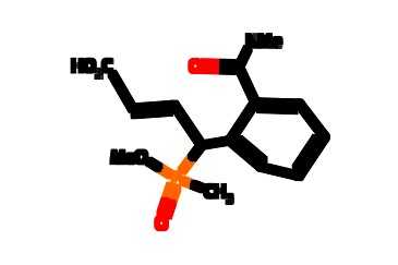 CNC(=O)c1ccccc1C(C=CC(=O)O)P(C)(=O)OC